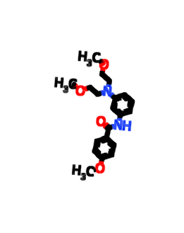 COCCN(CCOC)c1cccc(NC(=O)c2ccc(OC)cc2)c1